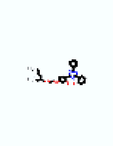 CCCCC(CC)COCCOc1ccc(-c2nc(-c3ccccc3)nc(-c3ccccc3)n2)c(O)c1